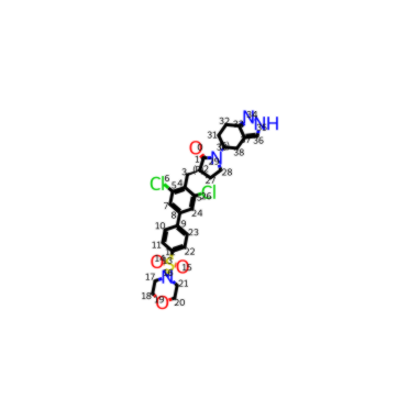 O=C1[C@H](Cc2c(Cl)cc(-c3ccc(S(=O)(=O)N4CCOCC4)cc3)cc2Cl)CCN1[C@H]1CCc2n[nH]cc2C1